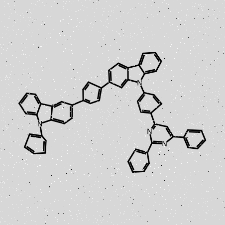 c1ccc(-c2cc(-c3ccc(-n4c5ccccc5c5ccc(-c6ccc(-c7ccc8c(c7)c7ccccc7n8-c7ccccc7)cc6)cc54)cc3)nc(-c3ccccc3)n2)cc1